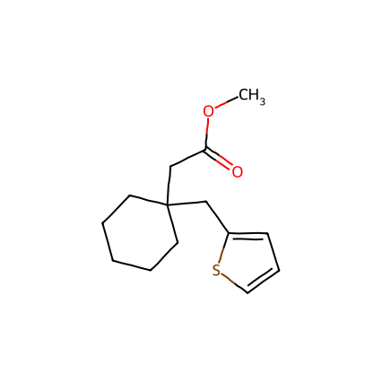 COC(=O)CC1(Cc2cccs2)CCCCC1